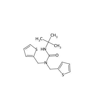 CC(C)(C)NC(=O)N(Cc1cccs1)Cc1cccs1